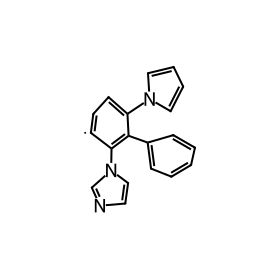 [c]1ccc(-n2cccc2)c(-c2ccccc2)c1-n1ccnc1